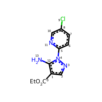 CCOC(=O)c1cnn(-c2ccc(Cl)cn2)c1N